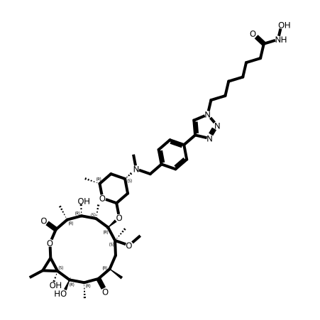 CO[C@@]1(C)C[C@@H](C)C(=O)[C@H](C)[C@@H](O)[C@@]2(O)C(C)C2OC(=O)[C@H](C)[C@H](O)[C@H](C)[C@H]1OC1C[C@@H](N(C)Cc2ccc(-c3cn(CCCCCCC(=O)NO)nn3)cc2)C[C@@H](C)O1